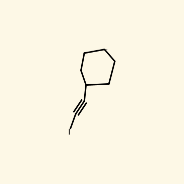 IC#CC1CC[CH]CC1